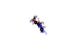 CC(C)n1c(=O)c(-c2ccc(NS(=O)(=O)CCC(F)(F)F)c(F)c2)cc2cnc(NC3CCC(N)C(F)C3)nc21